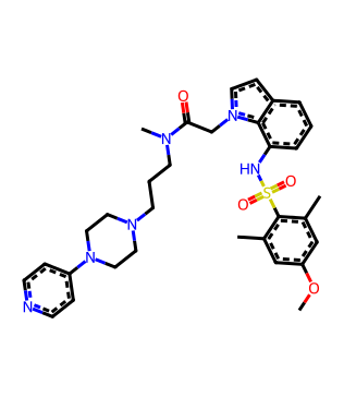 COc1cc(C)c(S(=O)(=O)Nc2cccc3ccn(CC(=O)N(C)CCCN4CCN(c5ccncc5)CC4)c23)c(C)c1